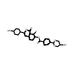 CCCC1CCC(c2cc3ccc(OC(=O)c4ccc(C5OCC(CCC)CO5)cc4)c(F)c3c(=O)o2)CC1